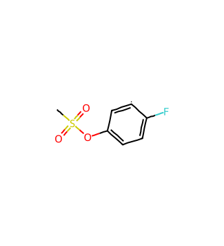 CS(=O)(=O)Oc1c[c]c(F)cc1